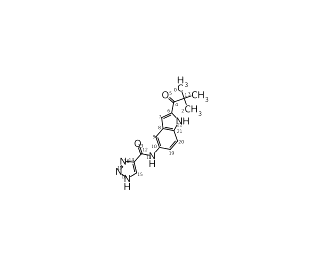 CC(C)(C)C(=O)c1cc2cc(NC(=O)c3c[nH]nn3)ccc2[nH]1